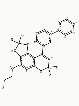 CCCOc1cc2c(c3c1OC(C)(C)C3)C(c1cccc(-c3ccncc3)c1)=NC(C)(C)C2